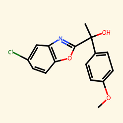 COc1ccc(C(C)(O)c2nc3cc(Cl)ccc3o2)cc1